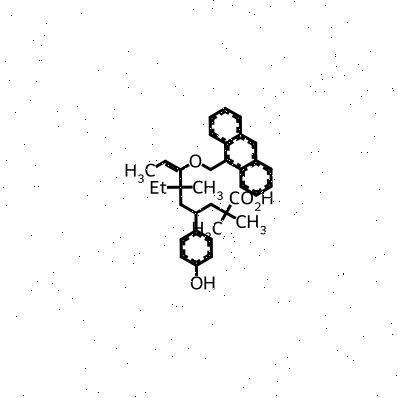 C/C=C(/OCc1c2ccccc2cc2ccccc12)C(C)(CC)CC(CC(C)(C)C(=O)O)c1ccc(O)cc1